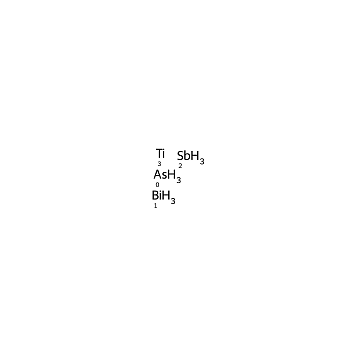 [AsH3].[BiH3].[SbH3].[Ti]